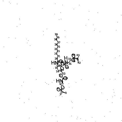 C=C(C)C(=O)OCCNC(=O)OCC1CC[C@H](NC(=O)CCCCCCCCCCC)[C@H](OC(=O)NCCOC(=O)C(=C)C)O1